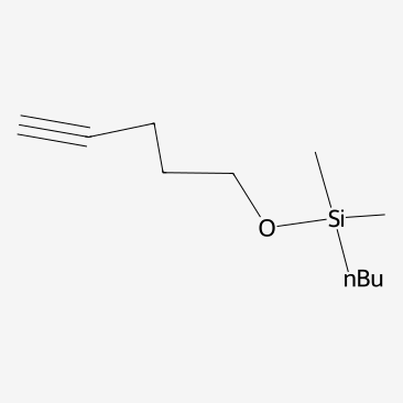 C#CCCCO[Si](C)(C)CCCC